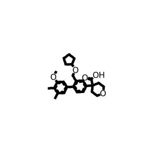 COc1cc(-c2ccc(C3(C(=O)O)CCOCC3)cc2COC2CCCC2)cc(C)c1C